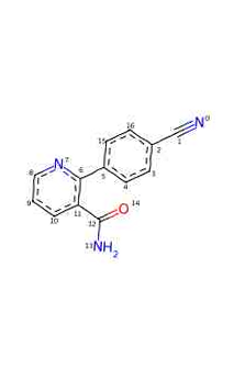 N#Cc1ccc(-c2ncccc2C(N)=O)cc1